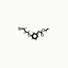 CCOC(=O)Cc1cccc(OCCCBr)c1